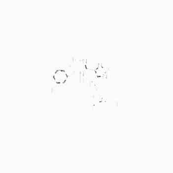 CN=S(C)(=O)CCNc1nonc1/C(=N/O)N[C@H]1Cc2ccc(F)cc21